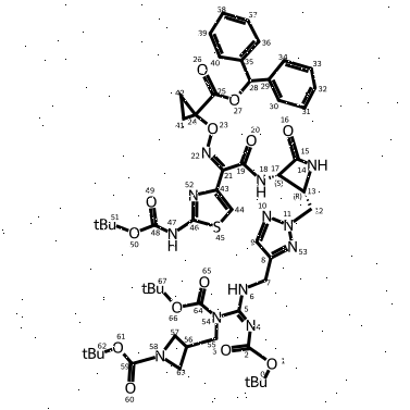 CC(C)(C)OC(=O)N=C(NCc1cnn(C[C@H]2NC(=O)[C@H]2NC(=O)C(=NOC2(C(=O)OC(c3ccccc3)c3ccccc3)CC2)c2csc(NC(=O)OC(C)(C)C)n2)n1)N(CC1CN(C(=O)OC(C)(C)C)C1)C(=O)OC(C)(C)C